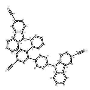 N#Cc1ccc(-c2ccccc2-n2c3ccccc3c3cc(C#N)ccc32)c(-c2ccc(-n3c4ccccc4c4cc(C#N)ccc43)cc2)c1